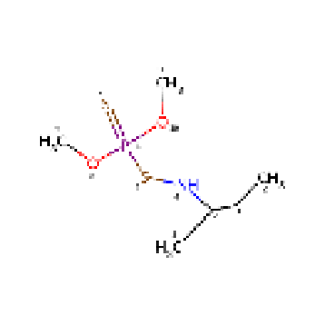 CCC(C)NSP(=S)(OC)OC